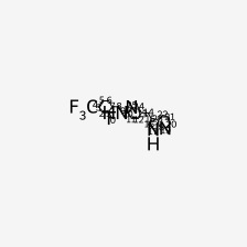 FC1=CC(C(F)(F)F)=CCC1CNc1ccc(Cc2c[nH]c3ncccc23)cn1